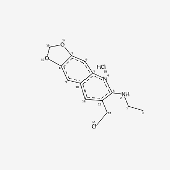 CCNc1nc2cc3c(cc2cc1CCl)OCO3.Cl